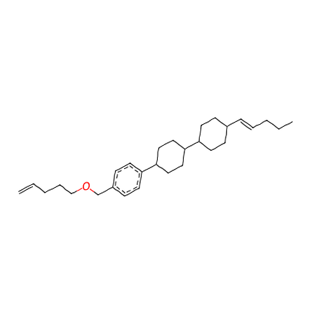 C=CCCCOCc1ccc(C2CCC(C3CCC(C=CCCC)CC3)CC2)cc1